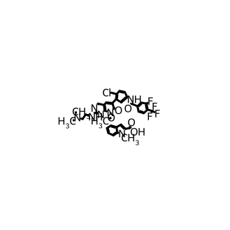 COn1c(=O)c(-c2cc(NC(=O)c3ccc(C(F)(F)F)c(F)c3)ccc2Cl)cc2cnc(NCCN(C)C)nc21.Cn1c(C(=O)O)cc2ccccc21